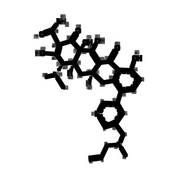 C=CCN(C)Cc1cncc(-c2ccc(O)c3c2C[C@H]2C[C@H]4[C@H](N(C)C)C(O)=C(C(N)=O)C(=O)[C@@]4(O)C(O)=C2C3=O)c1